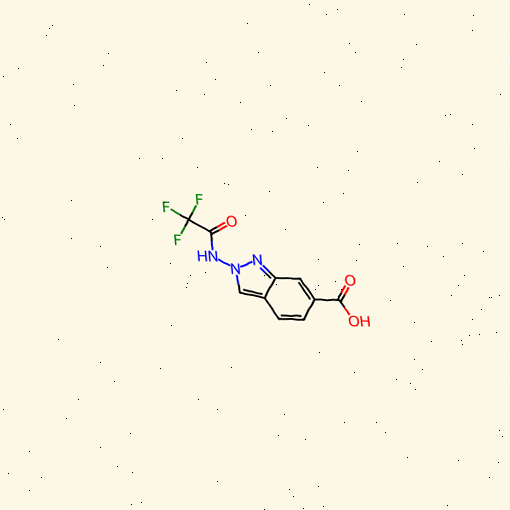 O=C(O)c1ccc2cn(NC(=O)C(F)(F)F)nc2c1